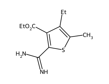 CCOC(=O)c1c(C(=N)N)sc(C)c1CC